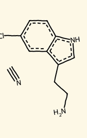 C#N.NCCc1c[nH]c2ccc(Cl)cc12